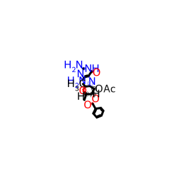 CC(=O)O[C@@H]1/C(=N/c2c(N)nc(N)[nH]c2=O)C(C)O[C@@H]2COC(c3ccccc3)O[C@H]12